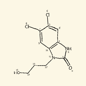 O=c1[nH]c2cc(Cl)c(Cl)cc2n1CCCO